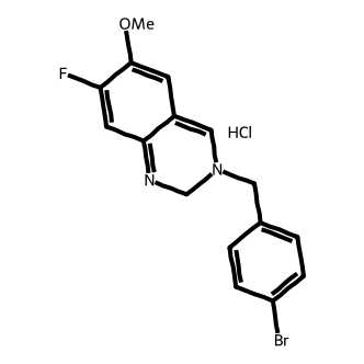 COc1cc2c(cc1F)=NCN(Cc1ccc(Br)cc1)C=2.Cl